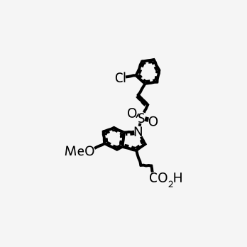 COc1ccc2c(c1)c(CCC(=O)O)cn2S(=O)(=O)C=Cc1ccccc1Cl